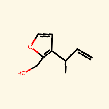 C=CC(C)c1ccoc1CO